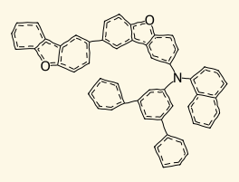 c1ccc(-c2cc(-c3ccccc3)cc(N(c3ccc4oc5ccc(-c6ccc7oc8ccccc8c7c6)cc5c4c3)c3cccc4ccccc34)c2)cc1